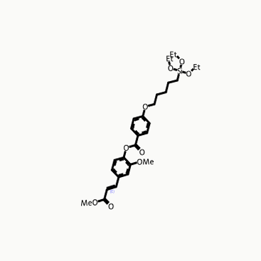 CCO[Si](CCCCCOc1ccc(C(=O)Oc2ccc(/C=C/C(=O)OC)cc2OC)cc1)(OCC)OCC